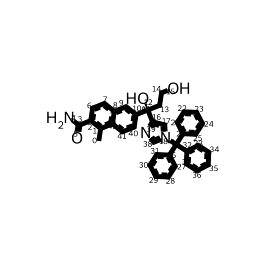 Cc1c(C(N)=O)ccc2cc([C@@](O)(CCO)c3cn(C(c4ccccc4)(c4ccccc4)c4ccccc4)cn3)ccc12